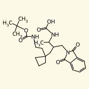 CC(NC(=O)O)C(CN1C(=O)c2ccccc2C1=O)CC1(CCNC(=O)OC(C)(C)C)CCC1